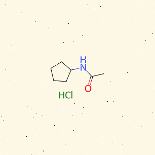 CC(=O)NC1CCCC1.Cl